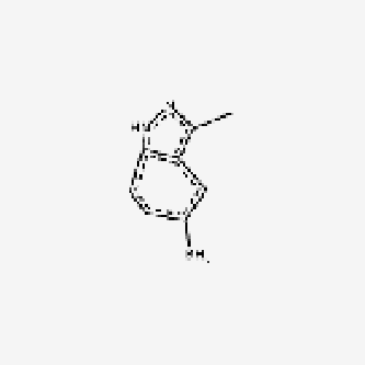 Bc1ccc2[nH]nc(C)c2c1